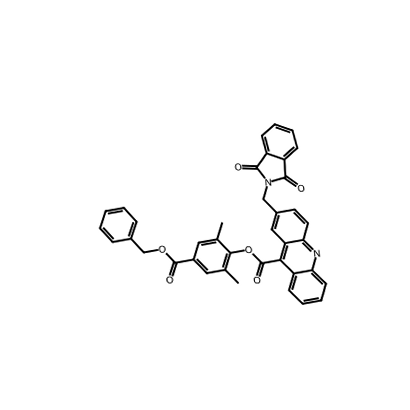 Cc1cc(C(=O)OCc2ccccc2)cc(C)c1OC(=O)c1c2ccccc2nc2ccc(CN3C(=O)c4ccccc4C3=O)cc12